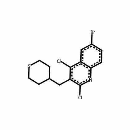 Clc1nc2ccc(Br)cc2c(Cl)c1CC1CCSCC1